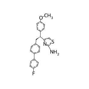 COc1ccc([C@H](Cc2ccc(-c3ccc(F)cc3)cc2)c2csc(N)n2)cc1